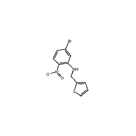 O=[N+]([O-])c1ccc(Br)cc1NCc1cccs1